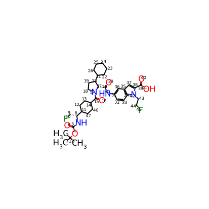 CC(C)(C)OC(=O)N[C@H](CF)C1CCC(C(=O)N2CC[C@@H](C3CCCCC3)[C@@H]2C(=O)Nc2ccc3c(c2)cc(C(=O)O)n3CCF)CC1